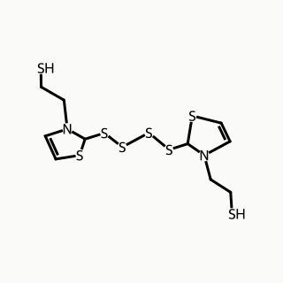 SCCN1C=CSC1SSSSC1SC=CN1CCS